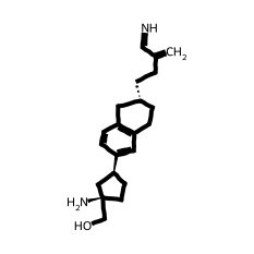 C=C(C=N)CC[C@@H]1CCc2cc([C@H]3CC[C@](N)(CO)C3)ccc2C1